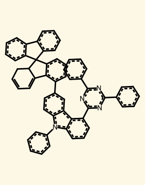 C1=CCC2C(=C1)c1c(-c3ccc4c(c3)c3c(-c5nc(-c6ccccc6)nc(-c6ccccc6)n5)cccc3n4-c3ccccc3)cccc1C21c2ccccc2-c2ccccc21